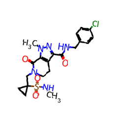 CNS(=O)(=O)C1(CN2CCc3c(C(=O)NCc4ccc(Cl)cc4)nn(C)c3C2=O)CC1